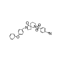 N#Cc1ccc(S(=O)(=O)N2CCCC3(CCN(Cc4ccc(Oc5ccccc5)cc4)C3=O)C2)cc1